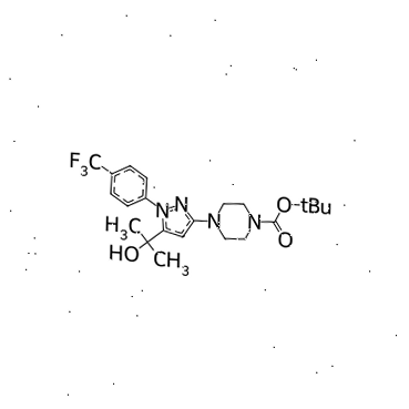 CC(C)(C)OC(=O)N1CCN(c2cc(C(C)(C)O)n(-c3ccc(C(F)(F)F)cc3)n2)CC1